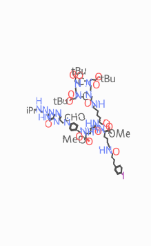 COC(=O)C(CCC(=O)NC(CCCCNC(=O)CN1CCN(CC(=O)OC(C)(C)C)CCN(CC(=O)OC(C)(C)C)CCN(CC(=O)OC(C)(C)C)CC1)C(=O)NC(CCCCNC(=O)CCCc1ccc(I)cc1)C(=O)OC)NC(=O)c1ccc(N(C=O)Cc2cnc3nc(/N=C/NC(C)C)[nH]c(=O)c3n2)cc1